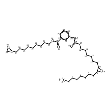 CCCCCCCCC1OC1CCCCCCCC(=O)Nc1cccc(C(=O)OCCCCCCCCCC2CO2)c1